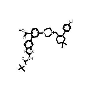 COC(=O)c1ccc(N2CCN(CC3=C(c4ccc(Cl)cc4)CC(C)(C)CC3)CC2)cc1-c1ccc2nc(NC(=O)OC(C)(C)C)sc2c1